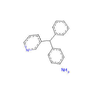 N.c1ccc(C(c2ccccc2)c2cccnc2)cc1